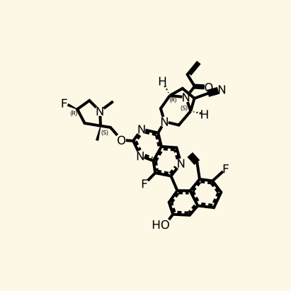 C#Cc1c(F)ccc2cc(O)cc(-c3ncc4c(N5C[C@H]6CC(C#N)[C@@H](C5)N6C(=O)C=C)nc(OC[C@]5(C)C[C@@H](F)CN5C)nc4c3F)c12